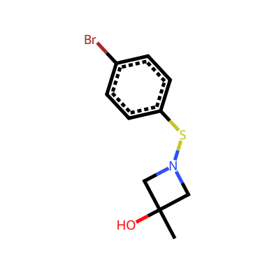 CC1(O)CN(Sc2ccc(Br)cc2)C1